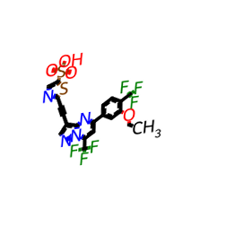 CCOc1cc(-c2cc(C(F)(F)F)n3ncc(C#Cc4ncc(S(=O)(=O)O)s4)c3n2)ccc1C(F)(F)F